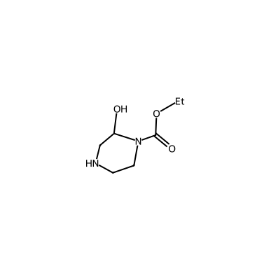 CCOC(=O)N1CCNCC1O